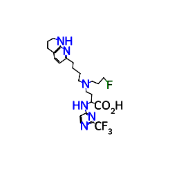 O=C(O)C(CCN(CCCF)CCCCc1ccc2c(n1)NCCC2)Nc1ccnc(C(F)(F)F)n1